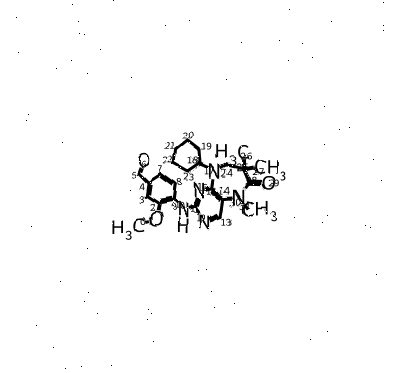 COc1cc(C=O)ccc1Nc1ncc2c(n1)N(C1CCCCC1)CC(C)(C)C(=O)N2C